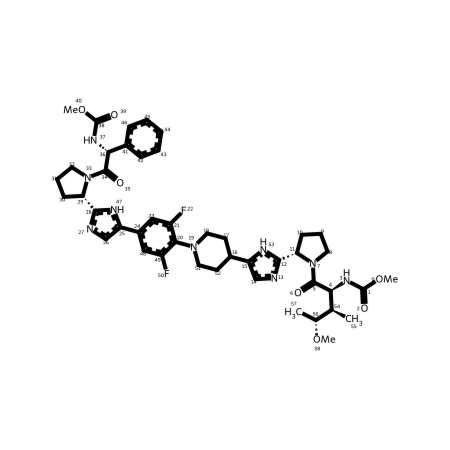 COC(=O)N[C@H](C(=O)N1CCC[C@H]1c1ncc(C2CCN(c3c(F)cc(-c4cnc([C@@H]5CCCN5C(=O)[C@H](NC(=O)OC)c5ccccc5)[nH]4)cc3F)CC2)[nH]1)[C@@H](C)[C@@H](C)OC